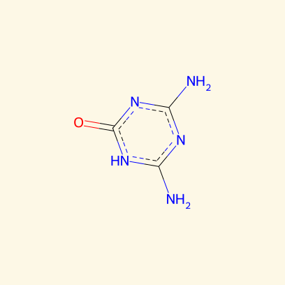 Nc1nc(N)[nH]c(=O)n1